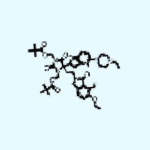 CCOc1ccc2c(c1F)C(=O)N(CC[C@]1(c3cc4nc(N5CCN(CC)CC5)ccc4o3)C(=O)N(COC(=O)C(C)(C)C)C(=O)N1COC(=O)C(C)(C)C)C2